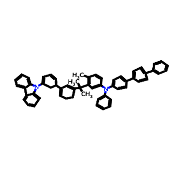 Cc1ccc(N(c2ccccc2)c2ccc(-c3ccc(-c4ccccc4)cc3)cc2)cc1C(C)(C)C1=CC(C2C=CC=C(n3c4ccccc4c4ccccc43)C2)=CCC1